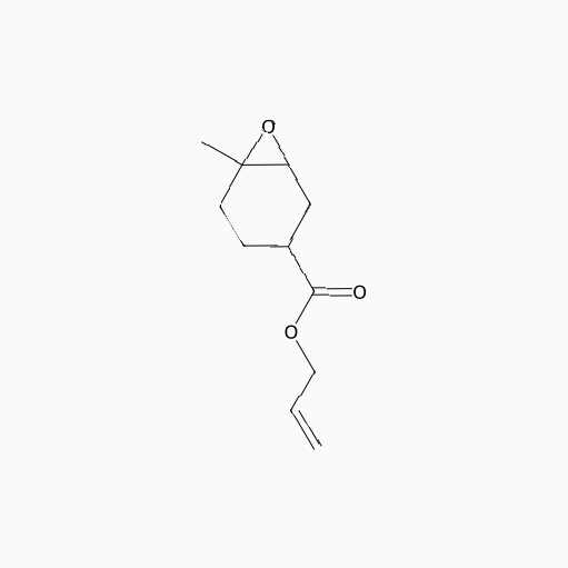 C=CCOC(=O)C1CCC2(C)OC2C1